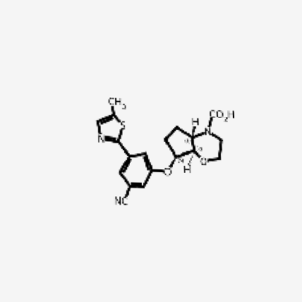 Cc1cnc(-c2cc(C#N)cc(O[C@H]3CC[C@H]4[C@H]3OCCN4C(=O)O)c2)s1